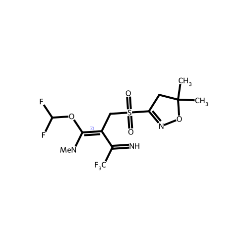 CN/C(OC(F)F)=C(/CS(=O)(=O)C1=NOC(C)(C)C1)C(=N)C(F)(F)F